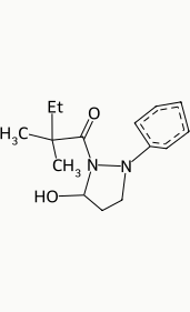 CCC(C)(C)C(=O)N1C(O)CCN1c1ccccc1